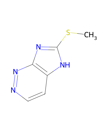 CSc1nc2nnccc2[nH]1